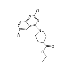 CCOC(=O)C1CCN(c2nc(Cl)nc3ccc(Cl)cc23)CC1